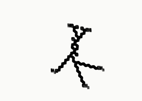 CCCCCCCCCN(CCCCCCCCC)CCN(CCCCCCCCC)CC(=O)N1CCN(C(=O)CN(CCCC(=O)O)CCCC(=O)O)CC1